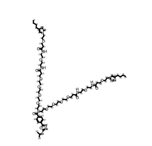 CCCCc1cn(CCOCCC(=O)NCCOCCNC(=O)CCOCCOCCOCCOCCN(CCOCCOCCOCCOCCC(=O)NCCOCCNC(=O)CCOCCn2cc(CCCC)nn2)C(=O)c2ccc(-c3nnc(SC(C)C)o3)cc2)nn1